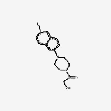 O=C(CO)N1CCN(c2ccc3cc(F)ccc3c2)CC1